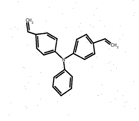 C=Cc1ccc(N(c2ccccc2)c2ccc(C=C)cc2)cc1